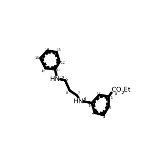 CCOC(=O)c1cccc(NCCCNc2ccccc2)c1